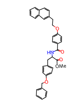 COC(=O)C(Cc1ccc(OCc2ccccc2)cc1)NC(=O)c1ccc(OCCc2ccc3ccccc3c2)cc1